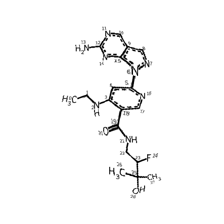 CCNc1cc(-n2ncc3cnc(N)nc32)ncc1C(=O)NCC(F)C(C)(C)O